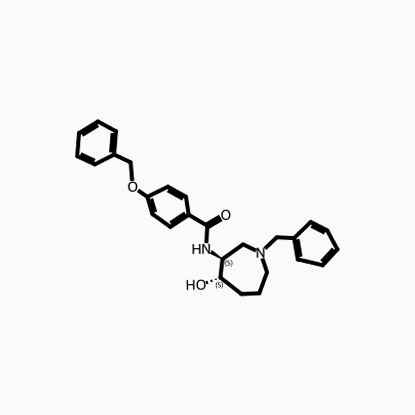 O=C(N[C@H]1CN(Cc2ccccc2)CCC[C@@H]1O)c1ccc(OCc2ccccc2)cc1